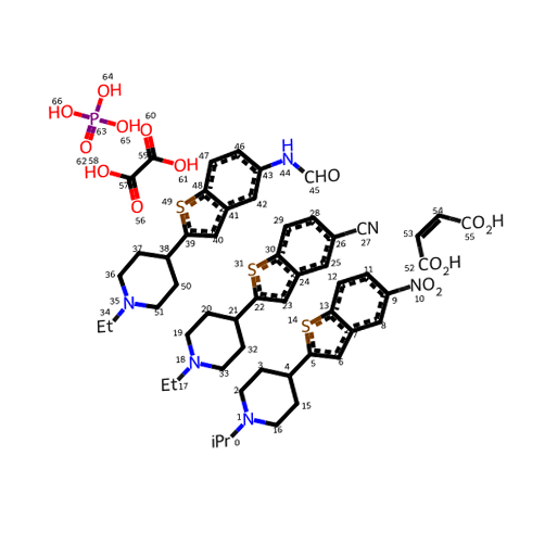 CC(C)N1CCC(c2cc3cc([N+](=O)[O-])ccc3s2)CC1.CCN1CCC(c2cc3cc(C#N)ccc3s2)CC1.CCN1CCC(c2cc3cc(NC=O)ccc3s2)CC1.O=C(O)/C=C\C(=O)O.O=C(O)C(=O)O.O=P(O)(O)O